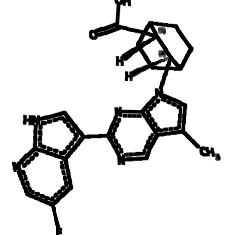 Cc1cn([C@@H]2C3CCC(CC3)[C@H]2C(=O)O)c2nc(-c3c[nH]c4ncc(F)cc34)ncc12